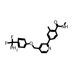 CNC(=O)c1ccc(-c2cc(COc3ccc(C(F)(F)P)cc3)ccn2)cc1C